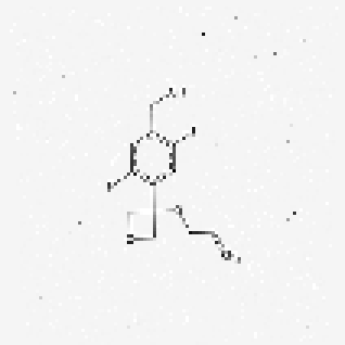 C=CCOC1(c2cc(F)c(CO)cc2F)COC1